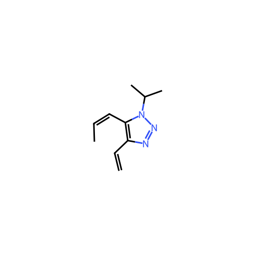 C=Cc1nnn(C(C)C)c1/C=C\C